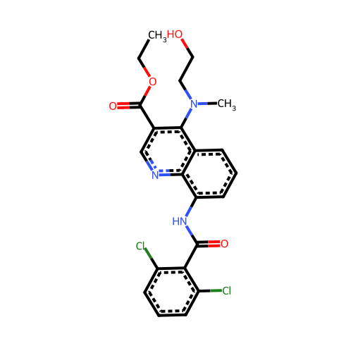 CCOC(=O)c1cnc2c(NC(=O)c3c(Cl)cccc3Cl)cccc2c1N(C)CCO